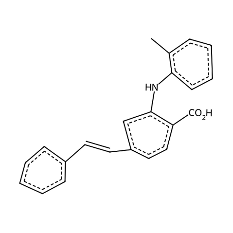 Cc1ccccc1Nc1cc(C=Cc2ccccc2)ccc1C(=O)O